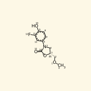 COC[C@H]1CN(c2ccc(O)c(F)c2)C(=O)O1